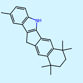 Cc1ccc2[nH]c3c(c2c1)Cc1cc2c(cc1-3)C(C)(C)CCC2(C)C